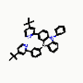 CC(C)(C)c1ccnc(-c2cccc(B3c4ccccc4N(c4ccccc4)c4ccc(-c5cc(C(C)(C)C)ccn5)cc43)c2)c1